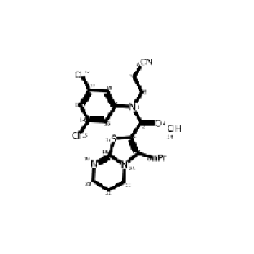 CCCC1=C(C(=O)N(CCC#N)c2cc(Cl)cc(Cl)c2)SC2=NCCCN21.Cl